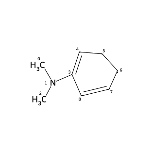 CN(C)C1=CC[CH]C=C1